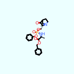 C[C@H](NP(=O)(OC[C@@H]1C(=O)C2CCN1C2)Oc1ccccc1)C(=O)OCc1ccccc1